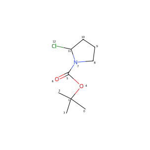 CC(C)(C)OC(=O)N1CCCC1Cl